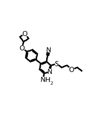 CCOCCSc1nc(N)cc(-c2ccc(OC3COC3)cc2)c1C#N